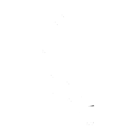 CN[C@@H]1CCN(C(=O)Nc2cc3cc(-c4nnc(C)s4)cnc3cn2)C[C@H]1F